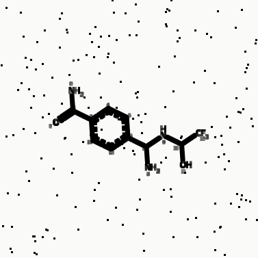 NC(=O)c1ccc(C(N)NC(O)C(F)(F)F)cc1